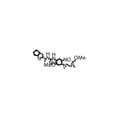 COCCN(C)CCN(C)c1cc(OC)c(NC(=N)NC(C)[C@@H]2Cc3ccccc3N2C)cc1[N+](=O)[O-]